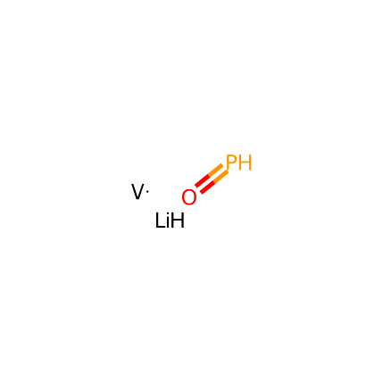 O=P.[LiH].[V]